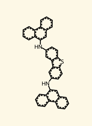 c1ccc2c(c1)cc(Nc1ccc3sc4ccc(Nc5cc6ccccc6c6ccccc56)cc4c3c1)c1ccccc12